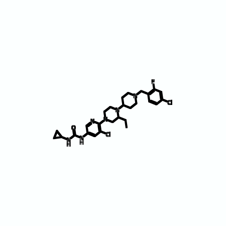 CCC1CN(c2ncc(NC(=O)NC3CC3)cc2Cl)CCN1C1CCN(Cc2ccc(Cl)cc2F)CC1